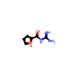 N=C(N)NC(=O)c1ccco1